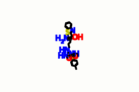 Cc1ccc(S(=O)(=O)NC(=N)NCCC[C@H](N)C(O)c2nc3ccccc3s2)cc1